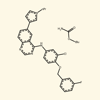 CC(C)(C)OC(N)=O.CCCn1ccc(-c2ccc3ncnc(Nc4ccc(OCc5cccc(F)c5)c(Cl)c4)c3c2)c1